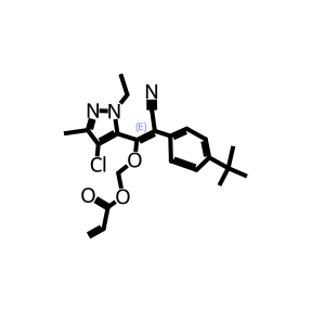 C=CC(=O)OCO/C(=C(/C#N)c1ccc(C(C)(C)C)cc1)c1c(Cl)c(C)nn1CC